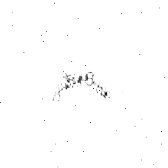 CC(C)(C)c1cc(NC(=O)N[C@@]2(C=O)C=C[C@@H](Oc3ccc4nnc(C(C)(C)C)n4c3)c3ccccc32)nc(C(=O)NCCN2CCOCC2)n1